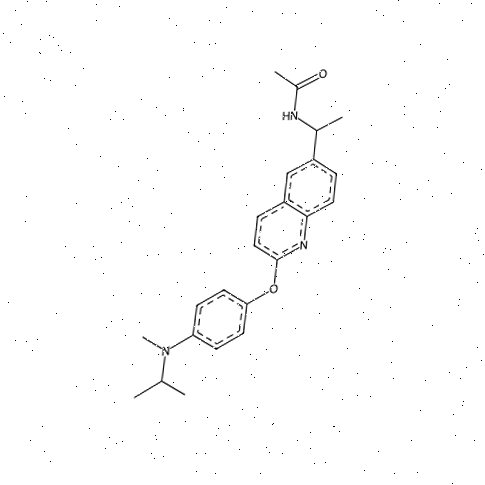 CC(=O)NC(C)c1ccc2nc(Oc3ccc(N(C)C(C)C)cc3)ccc2c1